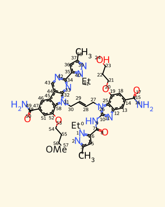 CCn1nc(C)cc1C(=O)Nc1nc2cc(C(N)=O)cc(OCCCO)c2n1C/C=C/Cn1c2nc(-c3cc(C)nn3CC)ncc2c2cc(C(N)=O)cc(OCCCOC)c21